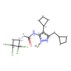 Cn1nc(CC2CCC2)c(C2CCC2)c1NC(=O)C[C@H]1CC(F)(F)C1(F)F